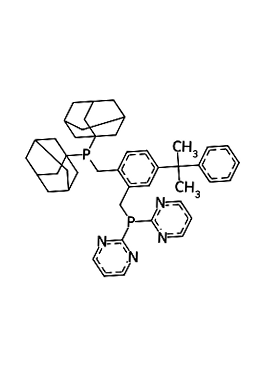 CC(C)(c1ccccc1)c1ccc(CP(C23CC4CC(CC(C4)C2)C3)C23CC4CC(CC(C4)C2)C3)c(CP(c2ncccn2)c2ncccn2)c1